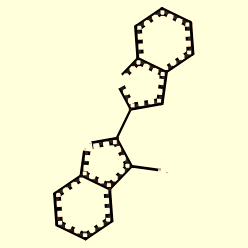 Brc1c(-c2cc3ccccc3o2)oc2ccccc12